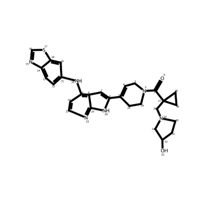 O=C(N1CC=C(c2cc3c(Nc4ccc5ncsc5c4)ccnc3[nH]2)CC1)C1(CN2CCC(O)C2)CC1